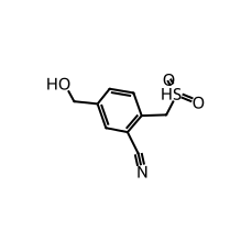 N#Cc1cc(CO)ccc1C[SH](=O)=O